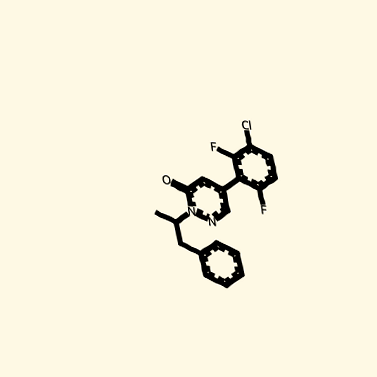 CC(Cc1ccccc1)n1ncc(-c2c(F)ccc(Cl)c2F)cc1=O